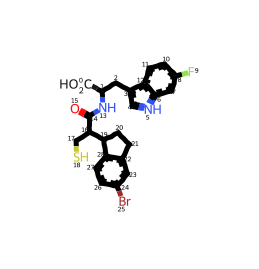 O=C(O)C(Cc1c[nH]c2cc(F)ccc12)NC(=O)C(CS)C1CCc2cc(Br)ccc21